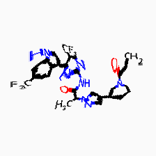 C=CC(=O)N1CCC=C(c2cnn(C(C)C(=O)Nc3ncc(C(F)(F)F)c(-c4c[nH]c5cc(C(F)(F)F)ccc45)n3)c2)C1